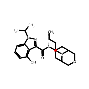 CCCCN1C2COCC1CC(NC(=O)c1nn(C(C)C)c3cccc(O)c13)C2